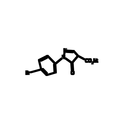 CCOC(=O)C1C=NN(c2ccc(Br)cc2)C1=O